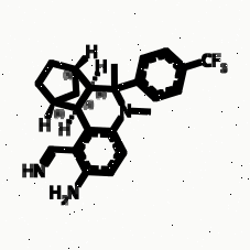 CN1c2ccc(N)c(C=N)c2[C@H]2[C@@H]3CC[C@@H](C3)[C@H]2C1(C)c1ccc(C(F)(F)F)cc1